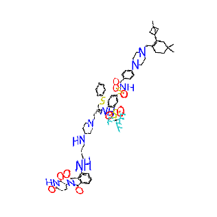 CC1(C)CCC(CN2CCN(c3ccc(C(=O)NS(=O)(=O)c4ccc(N[C@H](CCN5CCC(NCCCNc6cccc7c6C(=O)N(C6CCC(=O)NC6=O)C7=O)CC5)CSc5ccccc5)c(S(=O)(=O)C(F)(F)F)c4)cc3)CC2)=C(C23CC(C)(C2)C3)C1